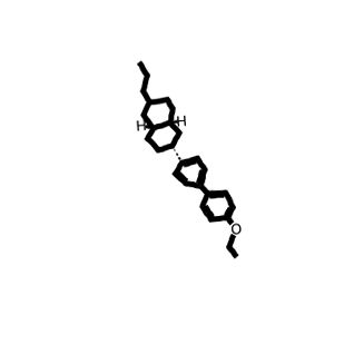 CCCC1CC[C@@H]2C[C@H](c3ccc(-c4ccc(OCC)cc4)cc3)CC[C@@H]2C1